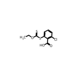 CCOC(=S)Sc1cccc(Cl)c1C(=O)O